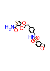 NC(=O)c1scc2c1OCC(Cc1ccc(CNS(=O)(=O)c3ccc4c(c3)CCO4)cc1)O2